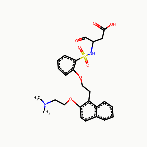 CN(C)CCOc1ccc2ccccc2c1CCOc1ccccc1S(=O)(=O)NC(C=O)CC(=O)O